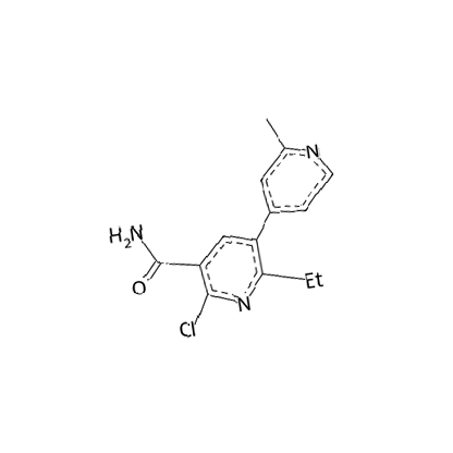 CCc1nc(Cl)c(C(N)=O)cc1-c1ccnc(C)c1